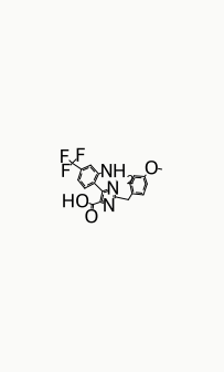 COc1ccc(Cc2nc(C(=O)O)c(-c3ccc(C(F)(F)F)cc3N)n2C)cc1